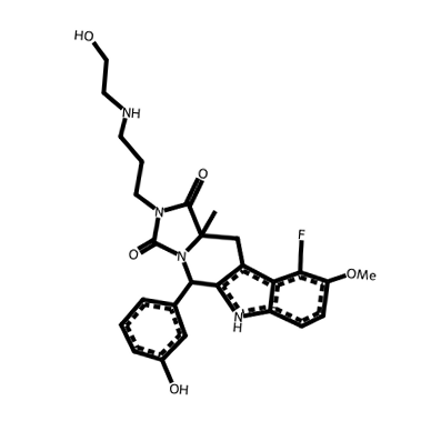 COc1ccc2[nH]c3c(c2c1F)CC1(C)C(=O)N(CCCNCCO)C(=O)N1C3c1cccc(O)c1